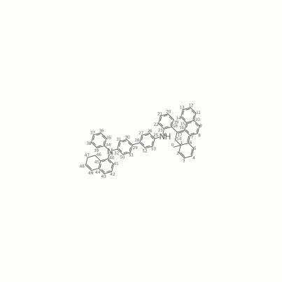 CC12C=CC=CC1=c1ccc3ccccc3c1=C(c1ccccc1Nc1ccc(-c3ccc(N(c4ccccc4)c4cccc5c4CCC=C5)cc3)cc1)C2